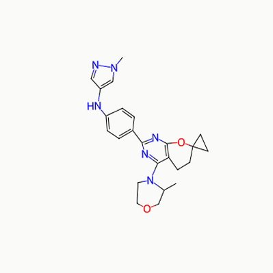 CC1COCCN1c1nc(-c2ccc(Nc3cnn(C)c3)cc2)nc2c1CCC1(CC1)O2